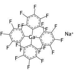 Fc1c(F)c(F)[c]([Ga-]([c]2c(F)c(F)c(F)c(F)c2F)([c]2c(F)c(F)c(F)c(F)c2F)[c]2c(F)c(F)c(F)c(F)c2F)c(F)c1F.[Na+]